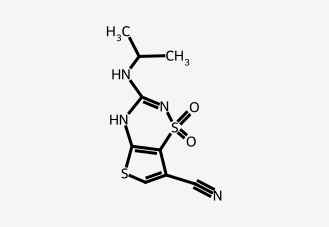 CC(C)NC1=NS(=O)(=O)c2c(C#N)csc2N1